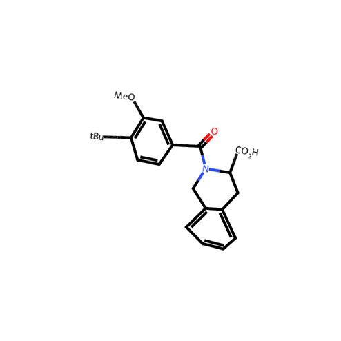 COc1cc(C(=O)N2Cc3ccccc3CC2C(=O)O)ccc1C(C)(C)C